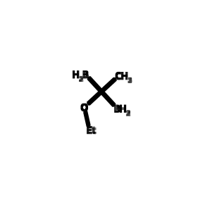 BC(B)(C)OCC